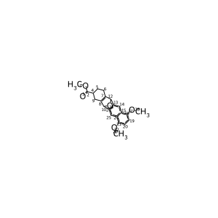 COC(=O)C1CCC2=C(C1)C1OC2c2cc3c(OC)ccc(OC)c3cc21